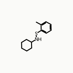 Cc1ccccc1SNC1CCCCC1